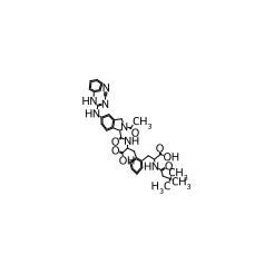 CC(=O)N1Cc2cc(NC(=NC#N)Nc3ccccc3)ccc2C1C(=O)NC(Cc1ccccc1CC(NC(=O)CC(C)(C)C)C(=O)O)C(=O)O